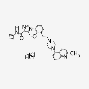 Cc1ccc2c(N3CCN(CCc4cccc5c4OCc4c(C(=O)NC6=CC=C6)ncn4-5)CC3)cccc2n1.Cl.Cl